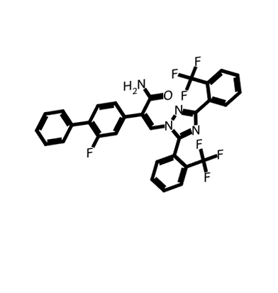 NC(=O)C(=Cn1nc(-c2ccccc2C(F)(F)F)nc1-c1ccccc1C(F)(F)F)c1ccc(-c2ccccc2)c(F)c1